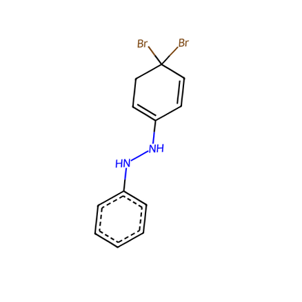 BrC1(Br)C=CC(NNc2ccccc2)=CC1